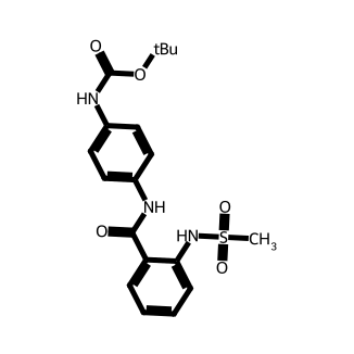 CC(C)(C)OC(=O)Nc1ccc(NC(=O)c2ccccc2NS(C)(=O)=O)cc1